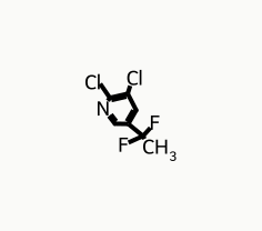 CC(F)(F)c1cnc(Cl)c(Cl)c1